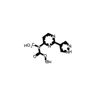 CC(C)(C)OC(=O)N(C(=O)O)c1ccnc(-c2cn[nH]c2)n1